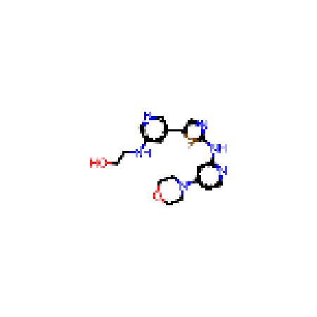 OCCNc1cncc(-c2cnc(Nc3cc(N4CCOCC4)ccn3)s2)c1